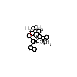 Cc1cc(-c2cccc3ccccc23)cc(-c2ccccc2)c1N(c1ccc2c(c1)C(C)(C)c1ccccc1-2)c1cccc2c1-c1ccccc1C2(C)C